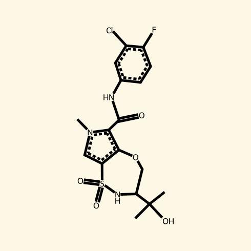 Cn1cc2c(c1C(=O)Nc1ccc(F)c(Cl)c1)OCC(C(C)(C)O)NS2(=O)=O